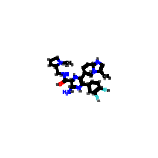 Cc1cnc2ccc(-c3nc(C(=O)NCC4CCCN4C)c(N)nc3-c3ccc(F)c(F)c3)cn12